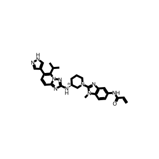 C=CC(=O)Nc1ccc2c(c1)nc(N1CCC[C@@H](Nc3nc4ccc(-c5cn[nH]c5)c(C(C)C)n4n3)C1)n2C